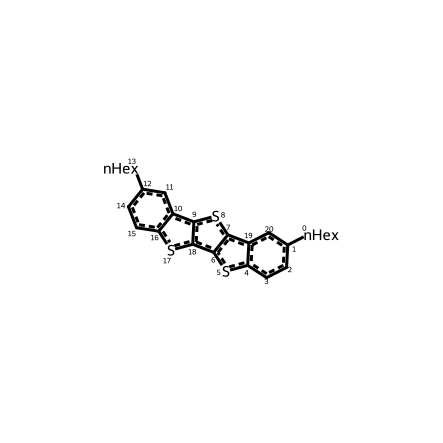 CCCCCCc1ccc2sc3c(sc4c5cc(CCCCCC)ccc5sc43)c2c1